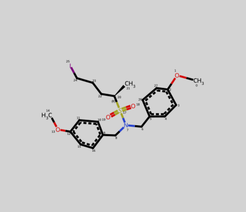 COc1ccc(CN(Cc2ccc(OC)cc2)S(=O)(=O)[C@H](C)CCCI)cc1